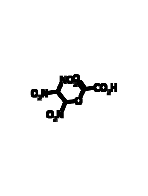 O=C(O)C(=O)OC(C([N+](=O)[O-])[N+](=O)[O-])[N+](=O)[O-]